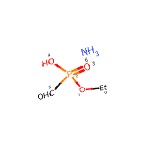 CCOP(=O)(O)C=O.N